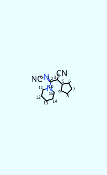 N#C/N=C(/C(C#N)C1CCCC1)N1CCCCC1